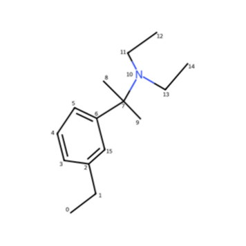 CCc1cccc(C(C)(C)N(CC)CC)c1